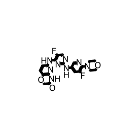 O=C1COc2ccc(Nc3nc(Nc4cnc(N5CCOCC5)c(F)c4)ncc3F)nc2N1